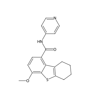 COc1ccc(C(=O)Nc2ccncc2)c2c3c(sc12)CCCC3